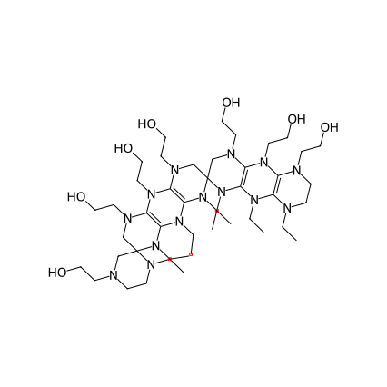 CCN1CCN(CCO)C2=C1N(CC)C1=C(N(CCO)CC3(CN(CCO)C4=C(N(CC)C5=C(N(CCO)CC6(CN(CCO)CCN6CC)N5CC)N4CCO)N3CC)N1CC)N2CCO